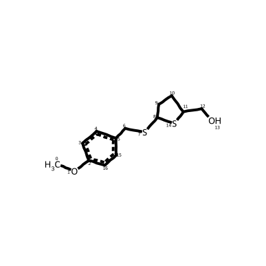 COc1ccc(CSC2CCC(CO)S2)cc1